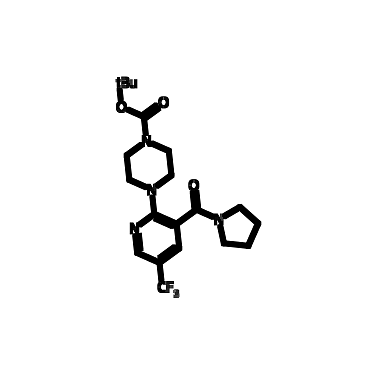 CC(C)(C)OC(=O)N1CCN(c2ncc(C(F)(F)F)cc2C(=O)N2CCCC2)CC1